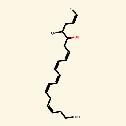 CC/C=C\CC(C(O)C\C=C/C=C\C=C/C=C\C/C=C\CC[C]=O)[N+](=O)[O-]